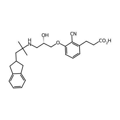 CC(C)(CC1Cc2ccccc2C1)NC[C@H](O)COc1cccc(CCC(=O)O)c1C#N